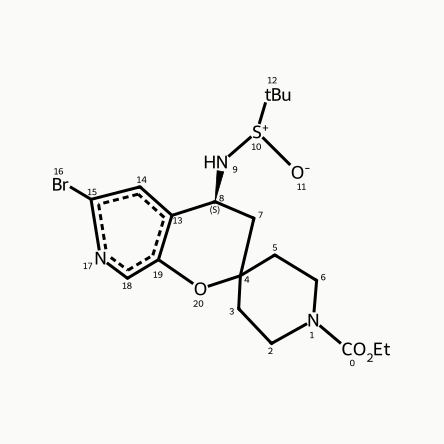 CCOC(=O)N1CCC2(CC1)C[C@H](N[S+]([O-])C(C)(C)C)c1cc(Br)ncc1O2